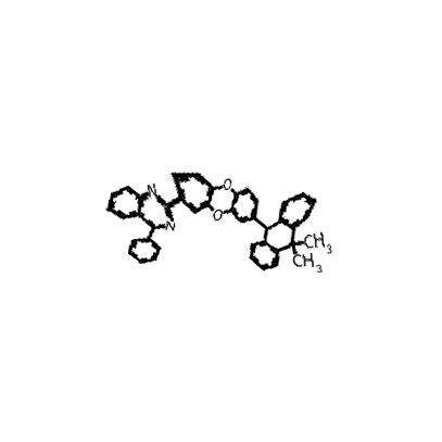 CC1(C)c2ccccc2C(c2ccc3c(c2)Oc2cc(-c4nc(-c5ccccc5)c5ccccc5n4)ccc2O3)c2ccccc21